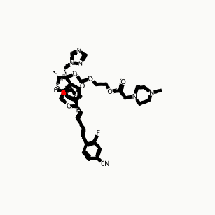 C[C@@H](S[C@H]1CO[C@H](C=CC=Cc2ccc(C#N)cc2F)OC1)[C@@](Cn1cncn1)(OC(=O)OCCOC(=O)CN1CCN(C)CC1)c1ccc(F)cc1F